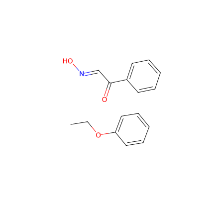 CCOc1ccccc1.O=C(C=NO)c1ccccc1